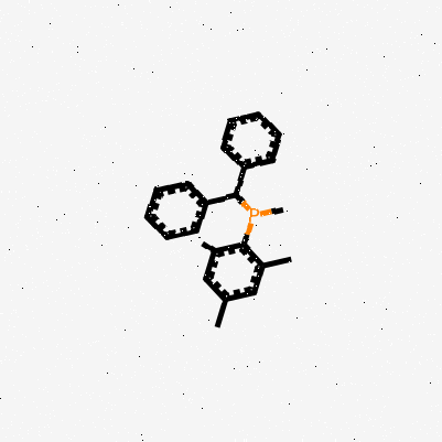 Cc1cc(C)c(P(C)C(c2ccccc2)c2ccccc2)c(C)c1